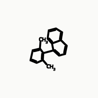 Cc1cccc(C)c1-c1cccc2ccccc12